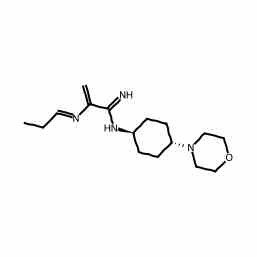 C=C(/N=C/CC)C(=N)N[C@H]1CC[C@H](N2CCOCC2)CC1